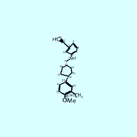 C#Cc1cccc(NC[C@H]2CC[C@H](c3ccc(OC)c(C)c3)CC2)c1